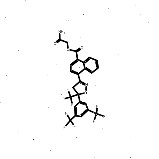 NC(=O)COC(=O)c1ccc(C2=NOC(c3cc(C(F)(F)F)cc(C(F)(F)F)c3)(C(F)(F)F)C2)c2ccccc12